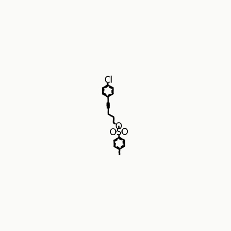 Cc1ccc(S(=O)(=O)OCCCC#Cc2ccc(Cl)cc2)cc1